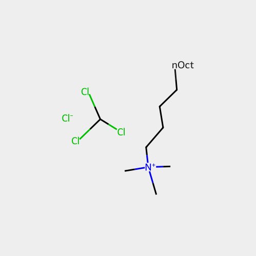 CCCCCCCCCCCC[N+](C)(C)C.ClC(Cl)Cl.[Cl-]